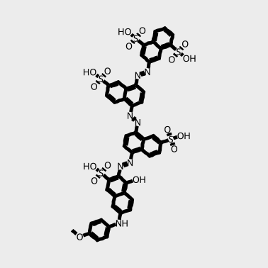 COc1ccc(Nc2ccc3c(O)c(N=Nc4ccc(N=Nc5ccc(N=Nc6cc(S(=O)(=O)O)c7cccc(S(=O)(=O)O)c7c6)c6cc(S(=O)(=O)O)ccc56)c5cc(S(=O)(=O)O)ccc45)c(S(=O)(=O)O)cc3c2)cc1